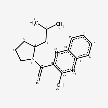 CC(C)CC1CCCN1C(=O)c1nc2ccccc2nc1O